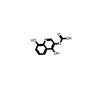 O=C(O)Oc1cnc2c(O)cccc2c1O